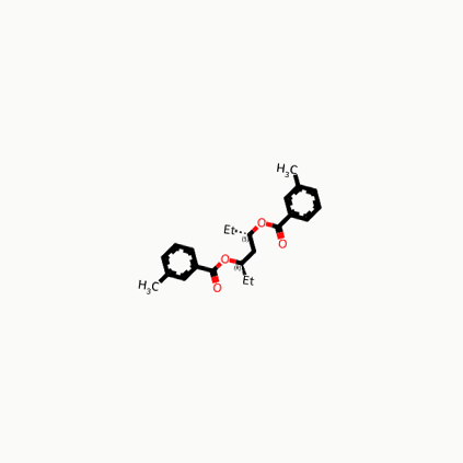 CC[C@H](C[C@H](CC)OC(=O)c1cccc(C)c1)OC(=O)c1cccc(C)c1